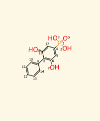 O=P(O)(O)c1cc(O)c(-c2ccccc2)c(O)c1